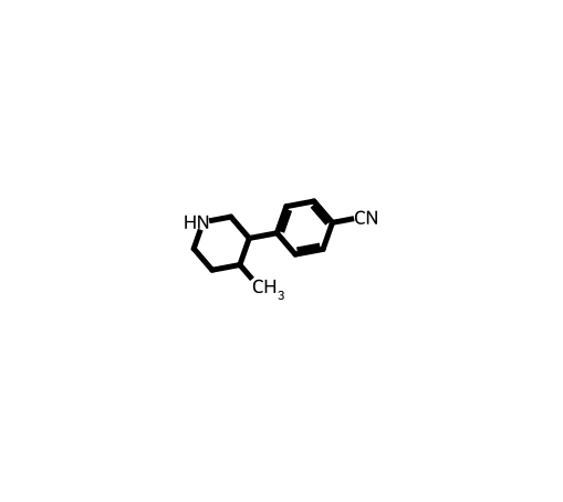 CC1CCNCC1c1ccc(C#N)cc1